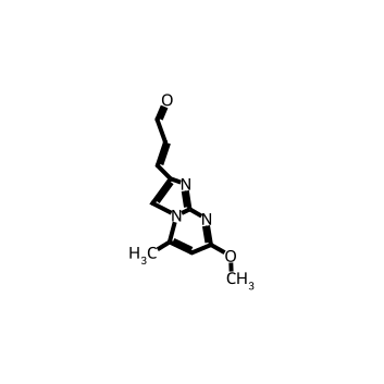 COc1cc(C)n2cc(C=CC=O)nc2n1